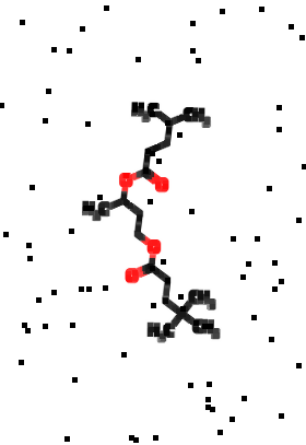 CC(C)CCC(=O)OC(C)CCOC(=O)CCC(C)(C)C